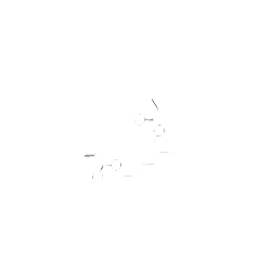 C=CC(=O)OCC(C)CCC(C)COC(=O)C=C